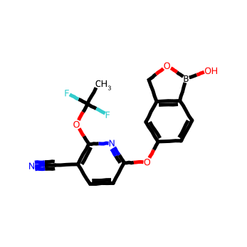 CC(F)(F)Oc1nc(Oc2ccc3c(c2)COB3O)ccc1C#N